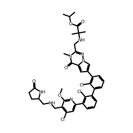 COc1nc(-c2cccc(-c3cccc(-c4cc5c(=O)n(C)c(CNC(C)(C)C(=O)OC(C)C)nn5c4)c3Cl)c2Cl)cc(Cl)c1CNCC1CCC(=O)N1